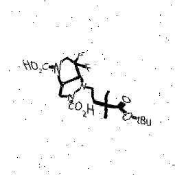 CC(C)(C)OC(=O)C(C)(C)CCN1C2C(CN1C(=O)O)N(C(=O)O)CC2(F)F